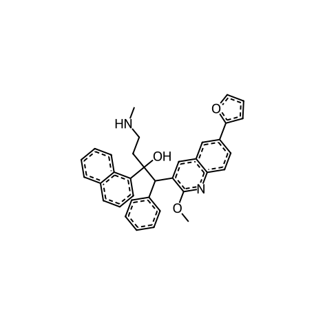 CNCCC(O)(c1cccc2ccccc12)C(c1ccccc1)c1cc2cc(-c3ccco3)ccc2nc1OC